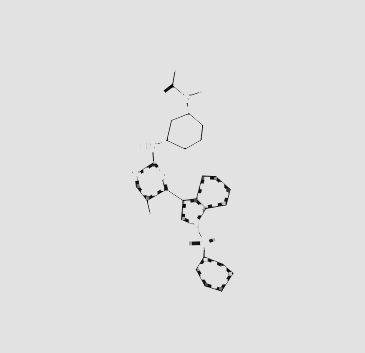 CN(C(=O)C(F)(F)F)[C@H]1CCC[C@@H](Nc2ncc(Cl)c(-c3cn(S(=O)(=O)c4ccccc4)c4ccccc34)n2)C1